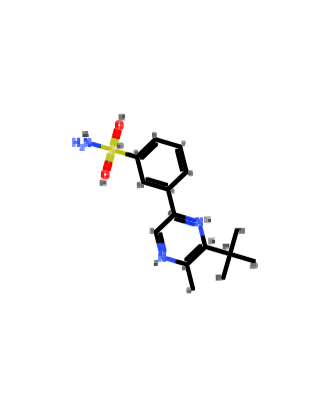 Cc1ncc(-c2cccc(S(N)(=O)=O)c2)nc1C(C)(C)C